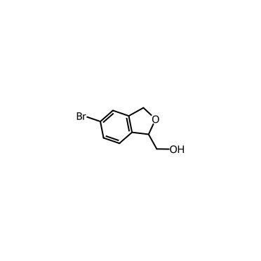 OCC1OCc2cc(Br)ccc21